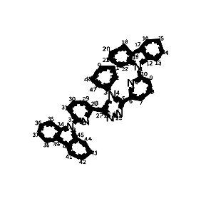 c1ccc(-n2c(-c3cccc(-n4c5ccccc5c5ccccc54)n3)nnc2-c2cccc(-n3c4ccccc4c4ccccc43)n2)cc1